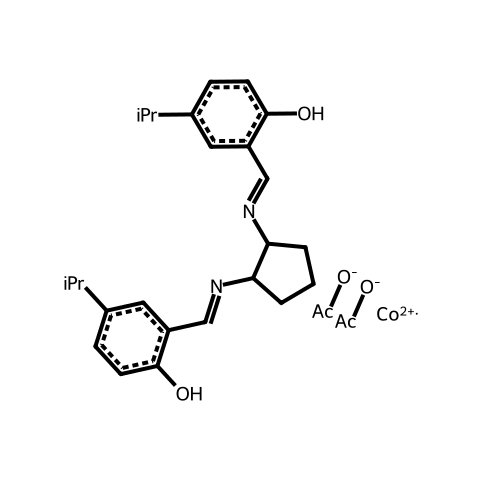 CC(=O)[O-].CC(=O)[O-].CC(C)c1ccc(O)c(C=NC2CCCC2N=Cc2cc(C(C)C)ccc2O)c1.[Co+2]